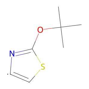 CC(C)(C)Oc1n[c]cs1